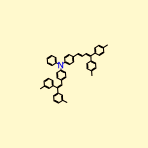 Cc1ccc(C(=CC=Cc2ccc(N(c3ccccc3)c3ccc(C=C(c4cccc(C)c4)c4cccc(C)c4)cc3)cc2)c2ccc(C)cc2)cc1